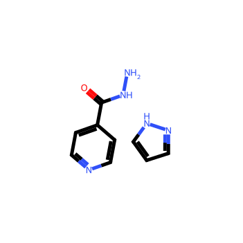 NNC(=O)c1ccncc1.c1cn[nH]c1